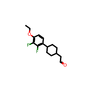 CCOc1ccc(C2CCC(CC=O)CC2)c(F)c1F